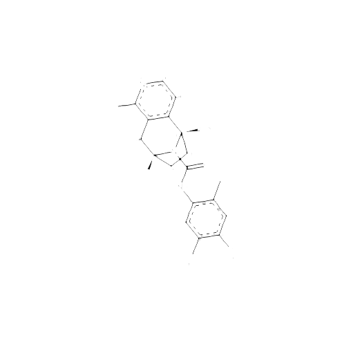 Cc1cc(Cl)c(Cl)cc1NC(=O)N1[C@@H]2CC[C@H]1c1ccnc(F)c1C2